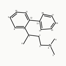 CC(CCN(C)C)c1ccccc1-c1ccccc1